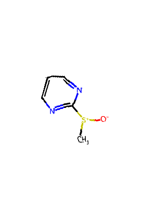 C[S+]([O-])c1nc[c]cn1